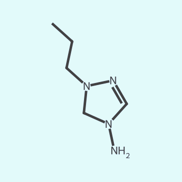 CCCN1CN(N)C=N1